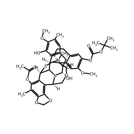 COc1cc2c(cc1OC(=O)OC(C)(C)C)CCN[C@]21CS[C@@H]2c3c(OC(C)=O)c(C)c4c(c3[C@H](COC1=O)N1C2[C@H]2c3c(cc(C)c(OC)c3O)C[C@@H]([C@@H]1O)N2C)OCO4